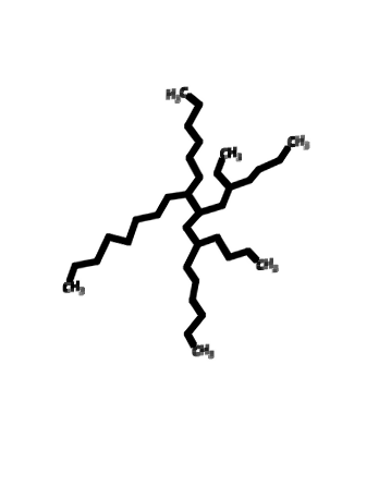 CCCCCCCCC(CCCCCC)[C](CC(CC)CCCC)CC(CCCC)CCCCCC